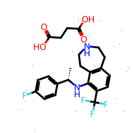 C[C@H](Nc1c(C(F)(F)F)ccc2c1CCNCC2)c1ccc(F)cc1.O=C(O)CCC(=O)O